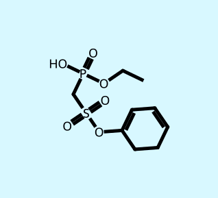 CCOP(=O)(O)CS(=O)(=O)OC1=CC=CCC1